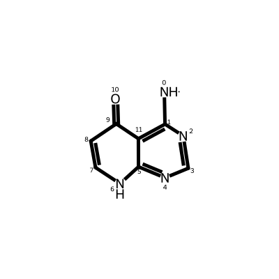 [NH]c1ncnc2[nH]ccc(=O)c12